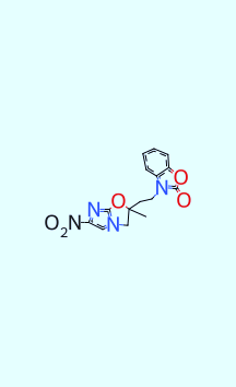 CC1(CCn2c(=O)oc3ccccc32)Cn2cc([N+](=O)[O-])nc2O1